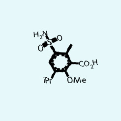 COc1c(C(C)C)cc(S(N)(=O)=O)c(C)c1C(=O)O